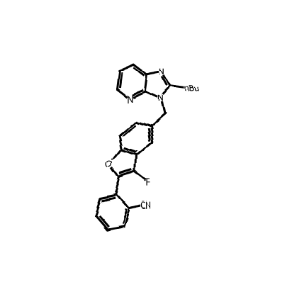 CCCCc1nc2cccnc2n1Cc1ccc2oc(-c3ccccc3C#N)c(F)c2c1